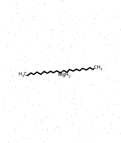 CCCCCCCCCCCCCCCCCCCCCCC.[MgH2]